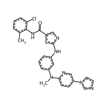 Cc1cccc(Cl)c1NC(=O)c1cnc(Nc2cccc(N(C)c3ccc(-n4ccnc4)cn3)c2)s1